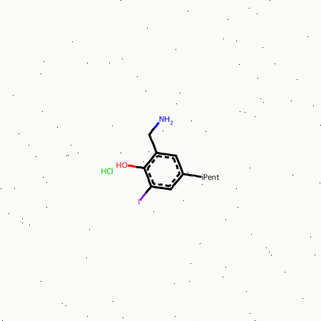 CCCC(C)c1cc(I)c(O)c(CN)c1.Cl